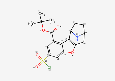 CC(C)(C)OC(=O)c1cc(S(=O)(=O)Cl)cc2oc3c(c12)C1CCC(C3)N1